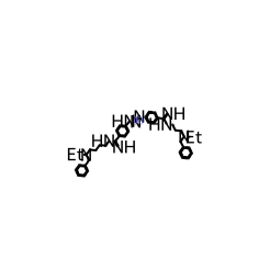 CCN(CCCCNC(=N)c1ccc(N/N=N/c2ccc(C(=N)NCCCN(CC)Cc3ccccc3)cc2)cc1)Cc1ccccc1